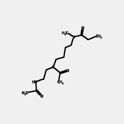 CCC(=O)N(C)CCCCN(CCNC(C)=O)C(C)=O